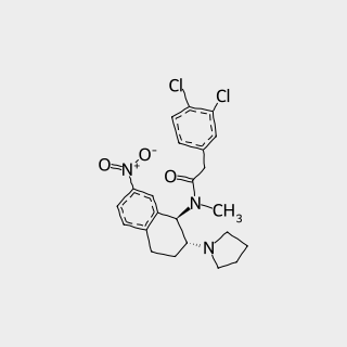 CN(C(=O)Cc1ccc(Cl)c(Cl)c1)[C@@H]1c2cc([N+](=O)[O-])ccc2CC[C@H]1N1CCCC1